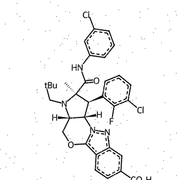 CC(C)(C)CN1[C@H]2COc3c4ccc(C(=O)O)cc4nn3[C@H]2[C@H](c2cccc(Cl)c2F)[C@]1(C)C(=O)Nc1cccc(Cl)c1